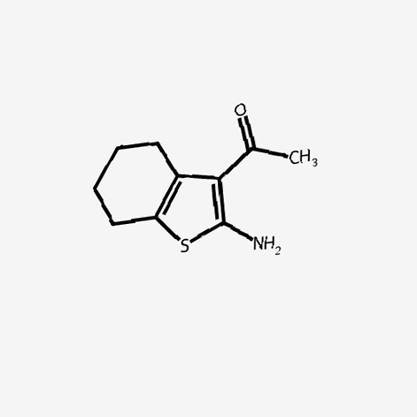 CC(=O)c1c(N)sc2c1CCCC2